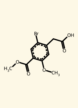 COC(=O)c1cc(Br)c(CC(=O)O)cc1OC